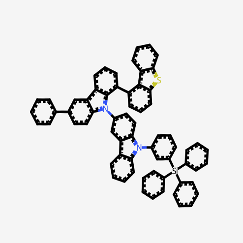 c1ccc(-c2ccc3c(c2)c2cccc(-c4cccc5sc6ccccc6c45)c2n3-c2ccc3c(c2)c2ccccc2n3-c2cccc([Si](c3ccccc3)(c3ccccc3)c3ccccc3)c2)cc1